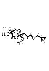 CC(C)O[Si]1(CCCOCC2CO2)OCC(C)(C)CO1